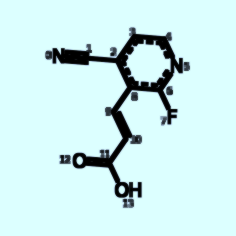 N#Cc1ccnc(F)c1C=CC(=O)O